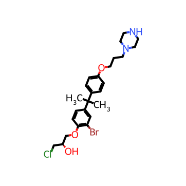 CC(C)(c1ccc(OCCCN2CCNCC2)cc1)c1ccc(OC[C@@H](O)CCl)c(Br)c1